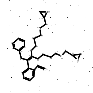 C=Cc1ccccc1C(Cc1ccccc1)=C(CCCCOCC1CO1)CCCCOCC1CO1